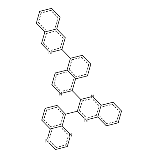 [c]1nc(-c2cccc3c(-c4nc5ccccc5nc4-c4cccc5nccnc45)nccc23)cc2ccccc12